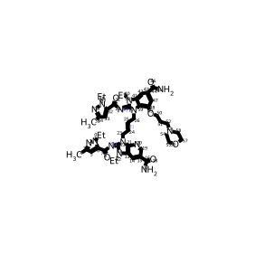 CCn1nc(C)cc1C(=O)/N=c1\n(CC)c2cc(C(N)=O)cnc2n1C/C=C/Cn1/c(=N/C(=O)c2cc(C)nn2CC)n(CC)c2cc(C(N)=O)cc(OCCCN3CCOCC3)c21